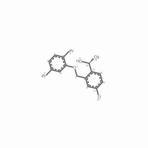 CC(C)c1ccc(C(C)C)c(OCc2cc(Cl)ccc2[C@@H](O)C#N)c1